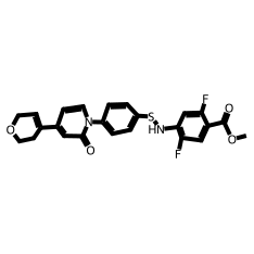 COC(=O)c1cc(F)c(NSc2ccc(-n3ccc(C4=CCOCC4)cc3=O)cc2)cc1F